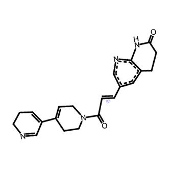 O=C1CCc2cc(/C=C/C(=O)N3CC=C(C4=CCCN=C4)CC3)cnc2N1